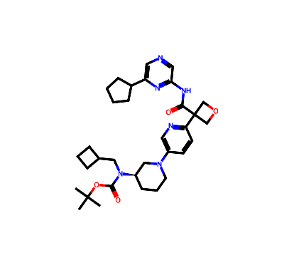 CC(C)(C)OC(=O)N(CC1CCC1)[C@@H]1CCCN(c2ccc(C3(C(=O)Nc4cncc(C5CCCC5)n4)COC3)nc2)C1